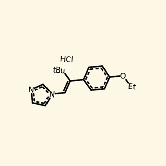 CCOc1ccc(C(=Cn2ccnc2)C(C)(C)C)cc1.Cl